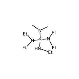 CCN[Si](N(C)C)(N(CC)CC)N(CC)CC